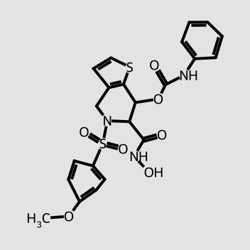 COc1ccc(S(=O)(=O)N2Cc3ccsc3C(OC(=O)Nc3ccccc3)C2C(=O)NO)cc1